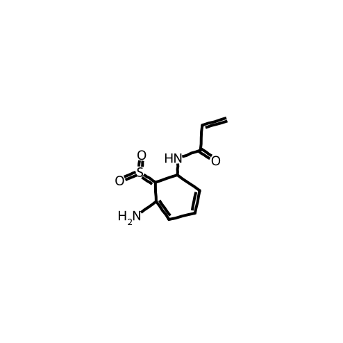 C=CC(=O)NC1C=CC=C(N)C1=S(=O)=O